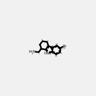 NCC1CCCc2c1[nH]c1ccc(Br)cc21